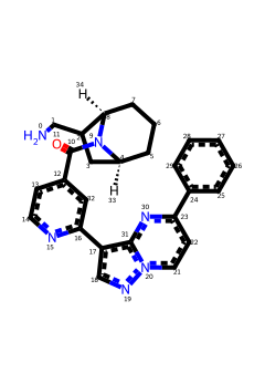 NCC1C[C@@H]2CCC[C@H]1N2C(=O)c1ccnc(-c2cnn3ccc(-c4ccccc4)nc23)c1